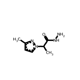 Cc1ccn(C(C)C(=O)NN)n1